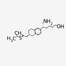 CC(C)SCC[C@H]1CCc2cc([C@H](CN)CCCCO)ccc2C1